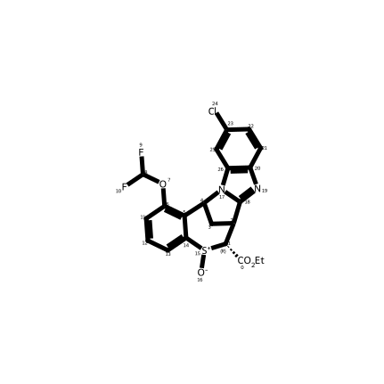 CCOC(=O)[C@H]1C2CC(c3c(OC(F)F)cccc3[S+]1[O-])n1c2nc2ccc(Cl)cc21